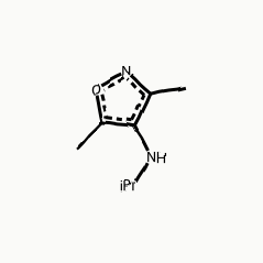 Cc1noc(C)c1NC(C)C